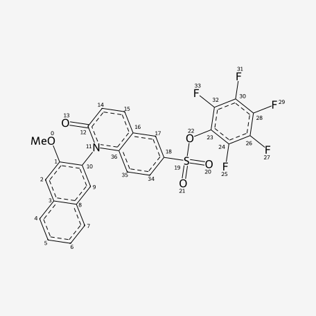 COc1cc2ccccc2cc1-n1c(=O)ccc2cc(S(=O)(=O)Oc3c(F)c(F)c(F)c(F)c3F)ccc21